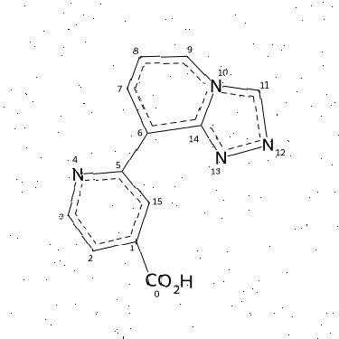 O=C(O)c1ccnc(-c2cccn3cnnc23)c1